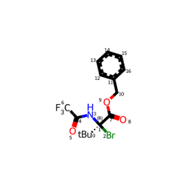 CC(C)(C)[C@](Br)(NC(=O)C(F)(F)F)C(=O)OCc1ccccc1